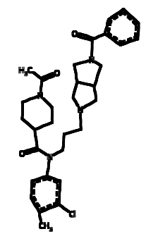 CC(=O)N1CCC(C(=O)N(CCCN2CC3CN(C(=O)c4ccccc4)CC3C2)c2ccc(C)c(Cl)c2)CC1